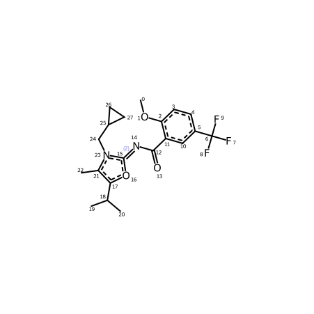 COc1ccc(C(F)(F)F)cc1C(=O)/N=c1\oc(C(C)C)c(C)n1CC1CC1